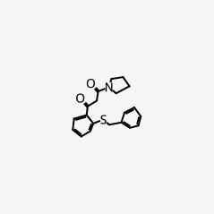 O=C(CC(=O)N1CCCC1)c1ccccc1SCc1ccccc1